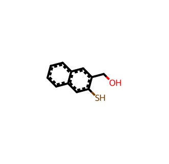 OCc1cc2ccccc2cc1S